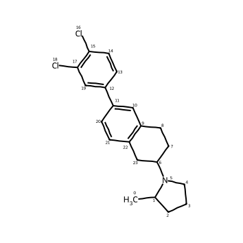 CC1CCCN1C1CCc2cc(-c3ccc(Cl)c(Cl)c3)ccc2C1